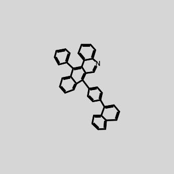 c1ccc(-c2c3ccccc3c(-c3ccc(-c4cccc5ccccc45)cc3)c3cnc4ccccc4c23)cc1